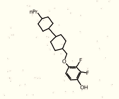 CCCC1CCC(C2CCC(COc3ccc(O)c(F)c3F)CC2)CC1